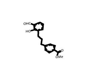 COC(=O)c1ccc(CCCc2cccc(C=O)c2O)cc1